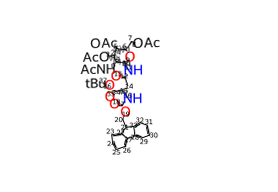 CC(=O)N[C@@H]1[C@@H](OC(C)=O)[C@H](OC(C)=O)[C@@H](COC(C)=O)O[C@H]1NC(=O)C[C@H](NC(=O)OCC1c2ccccc2-c2ccccc21)C(=O)OC(C)(C)C